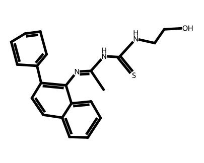 C/C(=N\c1c(-c2ccccc2)ccc2ccccc12)NC(=S)NCCO